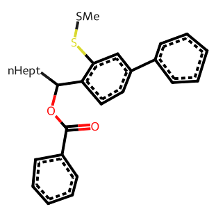 CCCCCCCC(OC(=O)c1ccccc1)c1ccc(-c2ccccc2)cc1SSC